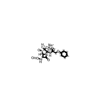 CC1(C)[S+]([O-])[C@@H]2[C@@H](NC=O)C(=O)N2[C@@]1(NC(=O)COc1ccccc1)C(=O)[O-].[Na+]